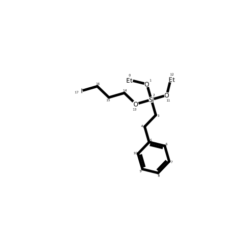 CCO[Si](CCc1ccccc1)(OCC)OCCCI